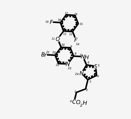 O=C(O)CCc1csc(Nc2cc(Oc3c(F)cccc3F)c(Br)cn2)n1